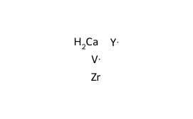 [CaH2].[V].[Y].[Zr]